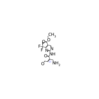 CCOC(=O)c1cnc(NC(=O)/C(=C\C=O)CN)nc1C(F)(F)F